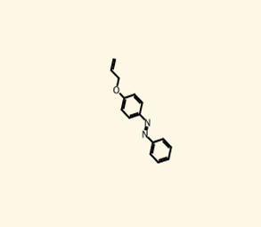 C=CCOc1ccc(/N=N/c2ccccc2)cc1